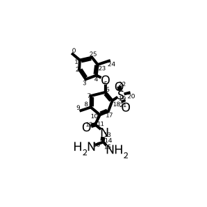 Cc1ccc(Oc2cc(C)c(C(=O)N=C(N)N)cc2S(C)(=O)=O)c(C)c1